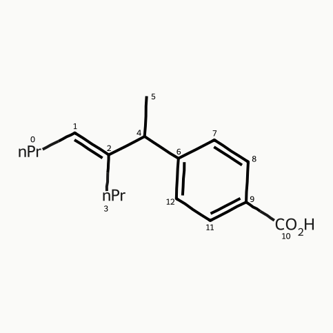 CCC/C=C(\CCC)C(C)c1ccc(C(=O)O)cc1